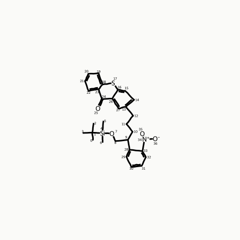 CC(C)(C)[Si](C)(C)OCC(CCCc1ccc2sc3ccccc3c(=O)c2c1)c1ccccc1[N+](=O)[O-]